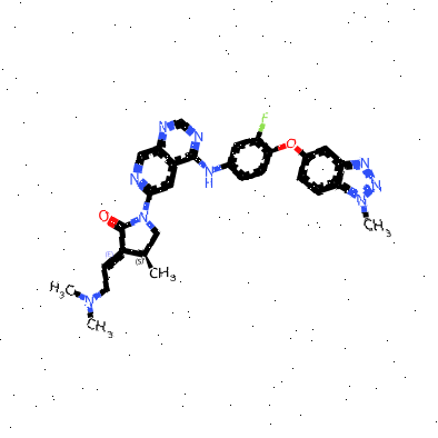 C[C@@H]1CN(c2cc3c(Nc4ccc(Oc5ccc6c(c5)nnn6C)c(F)c4)ncnc3cn2)C(=O)/C1=C/CN(C)C